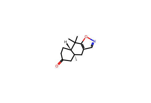 CC1(C)c2oncc2C[C@@]2(C)CC(=O)CC[C@H]12